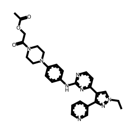 CCn1cc(-c2ccnc(Nc3ccc(N4CCN(C(=O)COC(C)=O)CC4)cc3)n2)c(-c2cccnc2)n1